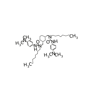 CCCCCCCCN(C[C@@H]1CCC[C@H](CN(CCCCCCCC)C(=O)Nc2ccc(N(C)C)cc2)C1)C(=O)Nc1ccc(N(C)C)cc1